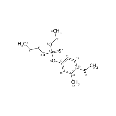 CCCSP(=S)(OCC)Oc1ccc(SC)c(C)c1